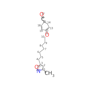 Cc1cc(CCCCCCCOC2=CCC(=C=O)C=C2)on1